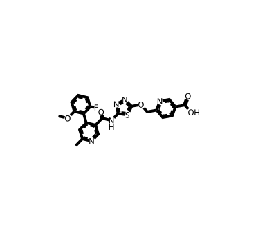 COc1cccc(F)c1-c1cc(C)ncc1C(=O)Nc1nnc(OCc2ccc(C(=O)O)cn2)s1